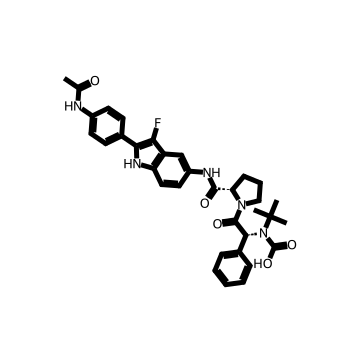 CC(=O)Nc1ccc(-c2[nH]c3ccc(NC(=O)[C@@H]4CCCN4C(=O)[C@@H](c4ccccc4)N(C(=O)O)C(C)(C)C)cc3c2F)cc1